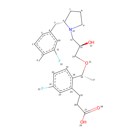 Cc1ccc(C[C@@H]2CCCN2C[C@@H](O)CO[C@H](C)c2ccc(F)cc2CCC(=O)O)cc1F